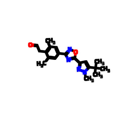 Cc1cc(-c2noc(-c3cc(C(C)(C)C)n(C)n3)n2)cc(C)c1CC=O